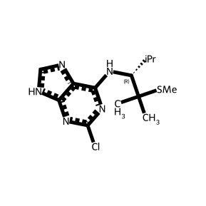 CSC(C)(C)[C@H](Nc1nc(Cl)nc2[nH]cnc12)C(C)C